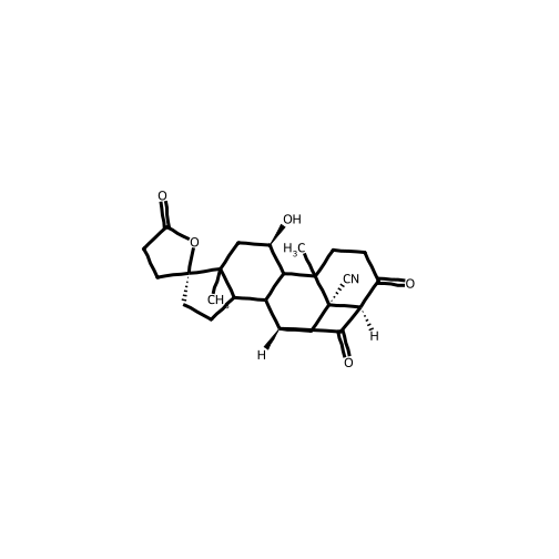 CC12C[C@@H](O)C3C(C1CC[C@@]21CCC(=O)O1)[C@H]1C[C@]2(C#N)[C@@H](C(=O)CCC32C)C1=O